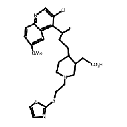 COc1ccc2ncc(Cl)c(C(F)CCC3CCN(CCSc4nccs4)CC3CC(=O)O)c2c1